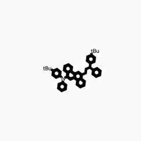 CC(C)(C)c1ccc(C(CCc2cc3c4ccccc4c(N(c4ccccc4)c4ccc(C(C)(C)C)cc4)cc3c3ccccc23)c2ccccc2)cc1